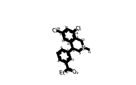 CCC(=O)c1cccc(C2CN(C)Cc3c(Cl)cc(Cl)cc32)c1